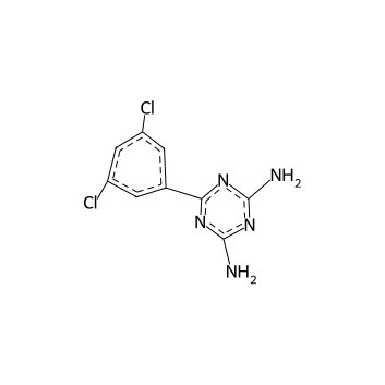 Nc1nc(N)nc(-c2cc(Cl)cc(Cl)c2)n1